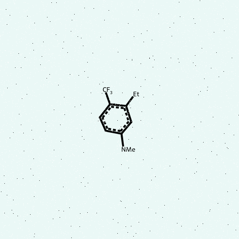 CCc1cc(NC)ccc1C(F)(F)F